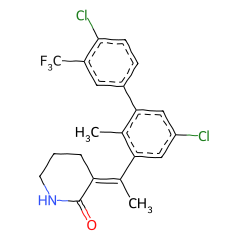 C/C(=C1/CCCNC1=O)c1cc(Cl)cc(-c2ccc(Cl)c(C(F)(F)F)c2)c1C